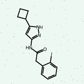 O=C(Cc1ccccc1I)Nc1cc(C2CCC2)[nH]n1